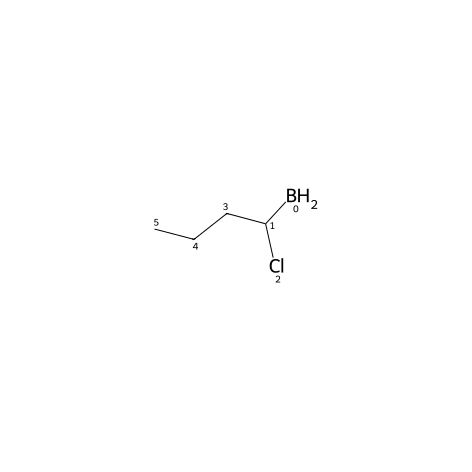 BC(Cl)CCC